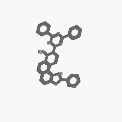 CC1c2ccc3ccc4c(c3c2C=CC1C1N=C(c2ccccc2)N=C(c2ccccc2)N1)NC(c1ccccc1)S4